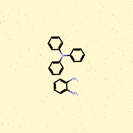 Nc1ccccc1N.c1ccc(N(c2ccccc2)c2ccccc2)cc1